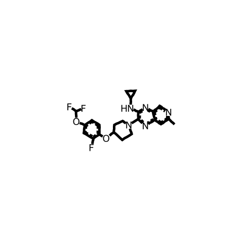 Cc1cc2nc(N3CCC(Oc4ccc(OC(F)F)cc4F)CC3)c(NC3CC3)nc2cn1